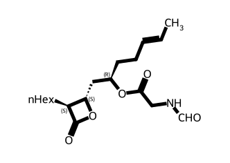 CC=CCC[C@H](C[C@@H]1OC(=O)[C@H]1CCCCCC)OC(=O)CNC=O